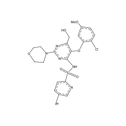 COc1ccc(Cl)c(Oc2c(CO)nc(N3CCOCC3)nc2NS(=O)(=O)c2ccc(C(C)C)cn2)c1